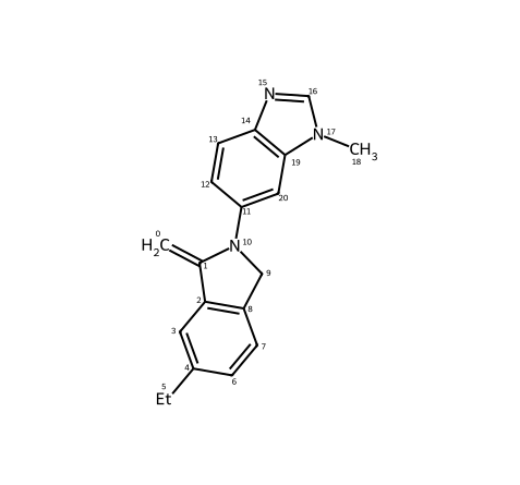 C=C1c2cc(CC)ccc2CN1c1ccc2ncn(C)c2c1